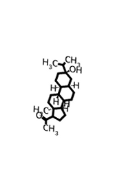 CC(=O)C1CC[C@H]2[C@@H]3CC[C@@H]4C[C@@](O)(C(C)C)CC[C@@H]4[C@H]3CC[C@]12C